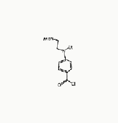 CCN(CCNC)c1ccc(C(=O)Cl)cc1